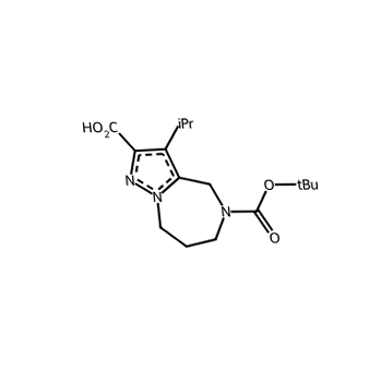 CC(C)c1c(C(=O)O)nn2c1CN(C(=O)OC(C)(C)C)CCC2